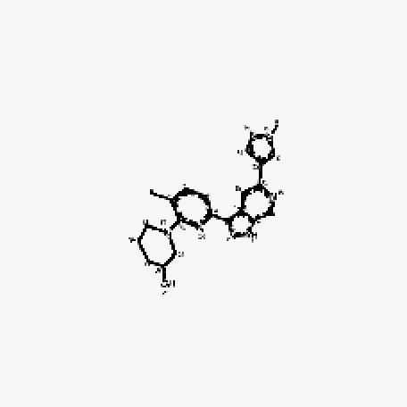 Cc1ccc(-c2n[nH]c3cnc(-c4cnn(C)c4)cc23)nc1N1CCCC(O)C1